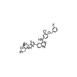 CCC(NC(CC(C)C)=S(=O)=O)c1nc(-c2ccc3ncnc(Nc4ccc(OCc5cccc(F)c5)c(Cl)c4)c3c2)cs1